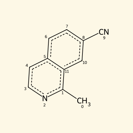 Cc1nccc2ccc(C#N)cc12